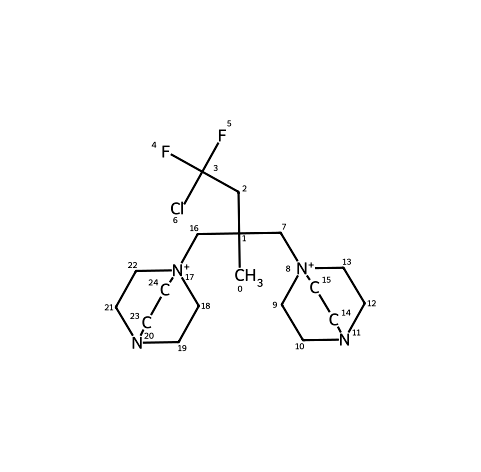 CC(CC(F)(F)Cl)(C[N+]12CCN(CC1)CC2)C[N+]12CCN(CC1)CC2